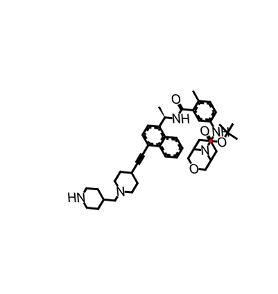 Cc1ccc(NC2CC3COCC(C2)N3C(=O)OC(C)(C)C)cc1C(=O)N[C@H](C)c1ccc(C#CC2CCN(CC3CCNCC3)CC2)c2ccccc12